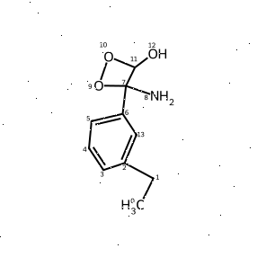 CCc1cccc(C2(N)OOC2O)c1